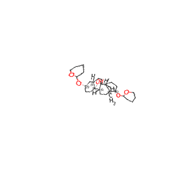 C[C@]12CC[C@H]3[C@@H](CC[C@H]4C[C@@H](OC5CCCCO5)CC[C@@]43CO)[C@@H]1CC[C@@H]2OC1CCCCO1